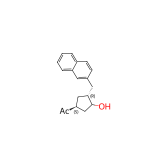 CC(=O)[C@@H]1CC(O)[C@@H](Cc2ccc3ccccc3c2)C1